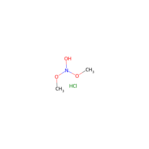 CON(O)OC.Cl